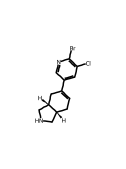 Clc1cc(C2=CC[C@@H]3CNC[C@@H]3C2)cnc1Br